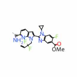 C=CC(F)(F)Cn1c(-c2nc3cc(C(=O)OC)c(F)cc3n2C2CC2)cc2ccc([C@@H](C)N)nc21